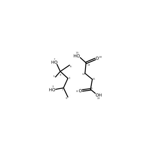 CC(O)CC(C)(C)O.O=C(O)CCC(=O)O